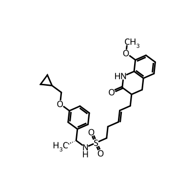 COc1cccc2c1NC(=O)C(C/C=C/CCS(=O)(=O)N[C@H](C)c1cccc(OCC3CC3)c1)C2